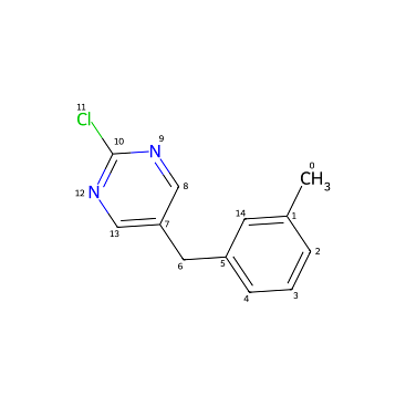 Cc1cccc(Cc2cnc(Cl)nc2)c1